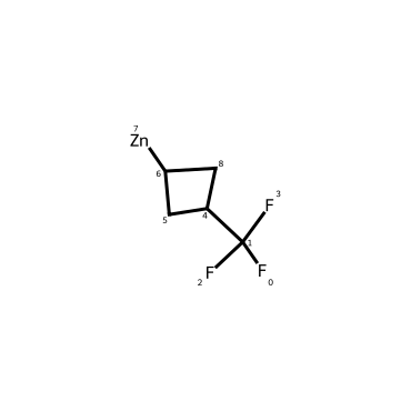 FC(F)(F)C1C[CH]([Zn])C1